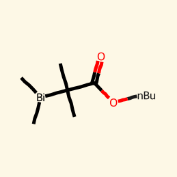 CCCCOC(=O)[C](C)(C)[Bi]([CH3])[CH3]